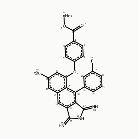 CCCCCCOC(=O)c1ccc(Oc2cc(C(C)(C)C)cc3cc4c(c(-c5cccc(F)c5)c23)C(=N)NC4=N)cc1